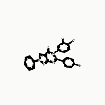 CC(C)c1ccc(-c2nc3nn(-c4ccccc4)cc3c(=O)n2-c2ccc(Cl)c(Cl)c2)cc1